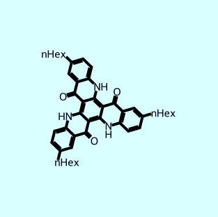 CCCCCCc1ccc2[nH]c3c4c(=O)c5cc(CCCCCC)ccc5[nH]c4c4c(=O)c5cc(CCCCCC)ccc5[nH]c4c3c(=O)c2c1